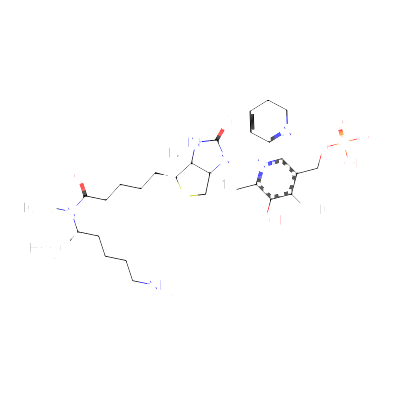 C1=CCCN=C1.Cc1ncc(COP(=O)(O)O)c(C=O)c1O.NCCCC[C@@H](C(=O)O)N(C(=O)O)C(=O)CCCC[C@@H]1SC[C@@H]2NC(=O)N[C@@H]21